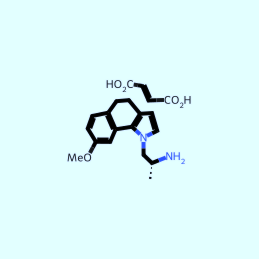 COc1ccc2c(c1)-c1c(ccn1C[C@@H](C)N)CC2.O=C(O)C=CC(=O)O